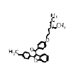 CCc1ccc(-c2oc3ccccc3c2C(=O)c2ccc(OCCCN(CC)CC)cc2)cc1